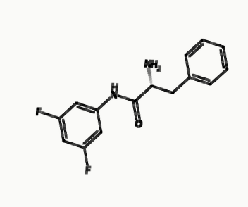 N[C@H](Cc1ccccc1)C(=O)Nc1cc(F)cc(F)c1